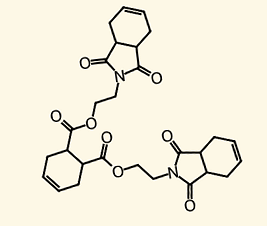 O=C(OCCN1C(=O)C2CC=CCC2C1=O)C1CC=CCC1C(=O)OCCN1C(=O)C2CC=CCC2C1=O